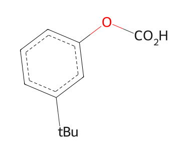 CC(C)(C)c1cccc(OC(=O)O)c1